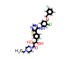 CCN1CCN(C(=O)C(O)C(O)c2ccc3c(c2)sc2ncnc(NC4=CC(Cl)C(OCc5cccc(F)c5)C=C4)c23)CC1